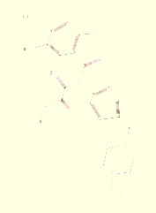 COc1cc(O)c(C(=N)N(C(=N)C(=O)NC(C)C)c2ccc(CN3CCN(C)CC3)cc2)cc1C(C)C